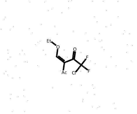 CCOC=C(C(C)=O)C(=O)C(F)(F)Cl